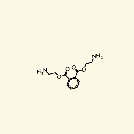 NCCOC(=O)c1ccccc1C(=O)OCCN